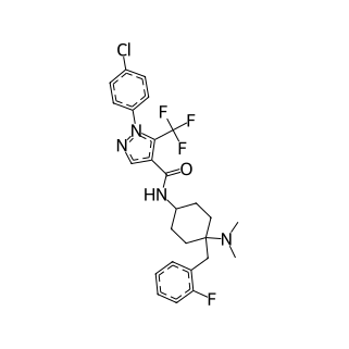 CN(C)C1(Cc2ccccc2F)CCC(NC(=O)c2cnn(-c3ccc(Cl)cc3)c2C(F)(F)F)CC1